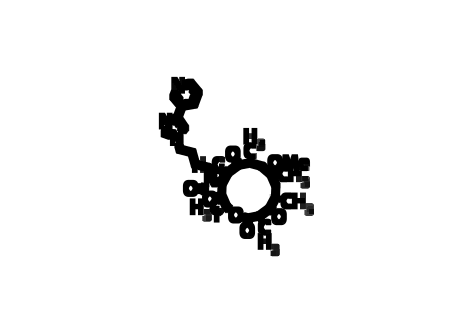 CO[C@@]1(C)C[C@@H](C)C(=O)[C@@H](C)C(=O)O[C@H](I)[C@@]2(C)OC(=O)N(CCCCn3cnc(-c4cccnc4)c3)[C@@H]2[C@@H](C)C(=O)[C@H](C)C1